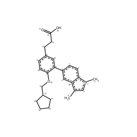 Cc1cn(C)c2ccc(-c3cc(CCC(=O)O)ccc3OCC3CCCC3)cc12